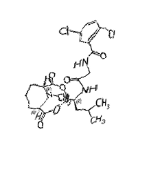 CC(C)C[C@H](NC(=O)CNC(=O)c1cc(Cl)ccc1Cl)B1OC(=O)[C@H]2CCC[C@H](C(=O)O1)N2C